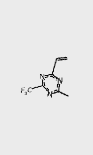 C=Cc1nc(C)nc(C(F)(F)F)n1